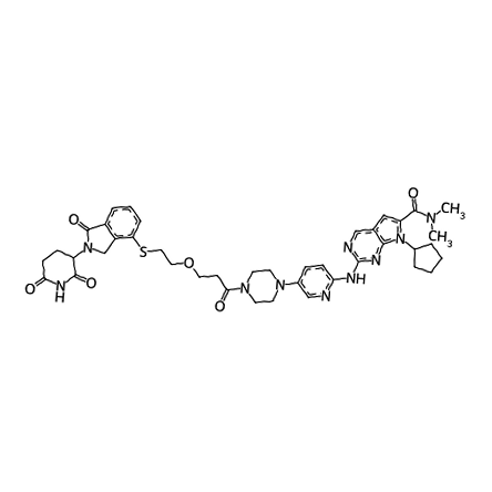 CN(C)C(=O)c1cc2cnc(Nc3ccc(N4CCN(C(=O)CCOCCSc5cccc6c5CN(C5CCC(=O)NC5=O)C6=O)CC4)cn3)nc2n1C1CCCC1